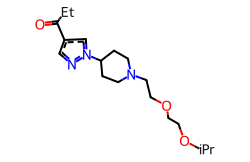 CCC(=O)c1cnn(C2CCN(CCOCCOC(C)C)CC2)c1